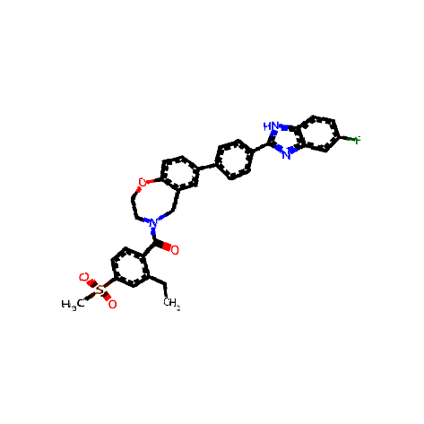 CCc1cc(S(C)(=O)=O)ccc1C(=O)N1CCOc2ccc(-c3ccc(-c4nc5cc(F)ccc5[nH]4)cc3)cc2C1